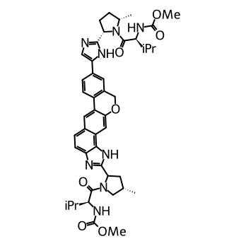 COC(=O)N[C@H](C(=O)N1C[C@@H](C)CC1c1nc2ccc3cc4c(cc3c2[nH]1)OCc1cc(-c2cnc([C@@H]3CC[C@H](C)N3C(=O)[C@@H](NC(=O)OC)C(C)C)[nH]2)ccc1-4)C(C)C